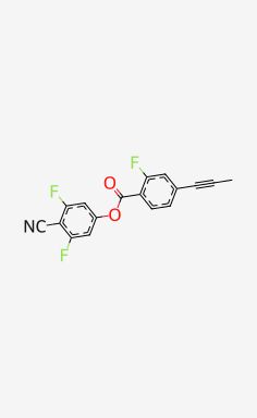 CC#Cc1ccc(C(=O)Oc2cc(F)c(C#N)c(F)c2)c(F)c1